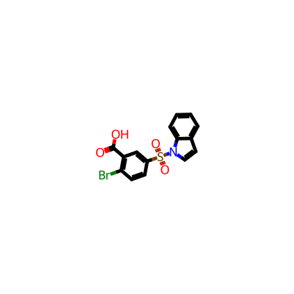 O=C(O)c1cc(S(=O)(=O)n2ccc3ccccc32)ccc1Br